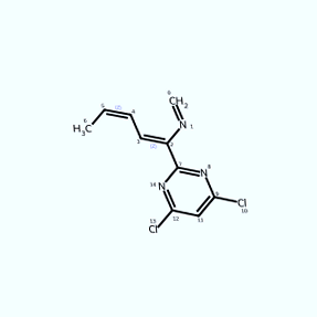 C=N/C(=C\C=C/C)c1nc(Cl)cc(Cl)n1